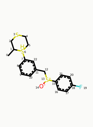 CC1CSCC[SH]1c1cccc(C[S+]([O-])c2ccc(F)cc2)c1